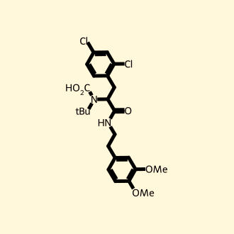 COc1ccc(CCNC(=O)C(Cc2ccc(Cl)cc2Cl)N(C(=O)O)C(C)(C)C)cc1OC